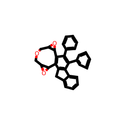 c1ccc(-c2c3c(c4c(c2-c2ccccc2)C2OC2COCC2OC42)Cc2ccccc2-3)cc1